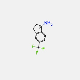 N[C@H]1CCc2cc(C(F)(F)F)ccc21